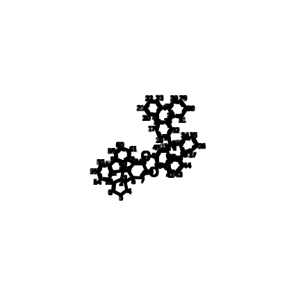 C1=CC2C(CC1)C1C=C3Oc4ccc(N(c5ccc(-c6ccccc6)c(-c6ccccc6)c5)c5ccccc5-c5ccccc5)cc4OC3=CC1C21c2ccccc2-c2ccccc21